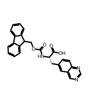 O=C(N[C@@H](Cc1ccc2ncncc2c1)C(=O)O)OCC1c2ccccc2-c2ccccc21